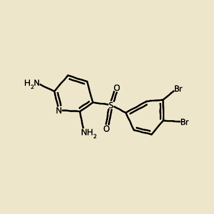 Nc1ccc(S(=O)(=O)c2ccc(Br)c(Br)c2)c(N)n1